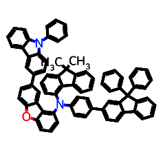 CC1(C)c2ccccc2-c2c(N(c3ccc(-c4ccc5c(c4)C(c4ccccc4)(c4ccccc4)c4ccccc4-5)cc3)c3cccc4oc5ccc(-c6ccc7c(c6)c6ccccc6n7-c6ccccc6)cc5c34)cccc21